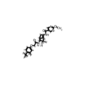 COc1ncc(C(=O)NC23CC(=C(NC(=O)COc4ccc(C(F)(F)F)c(F)c4)[C@@H](O)C2)C3)cn1